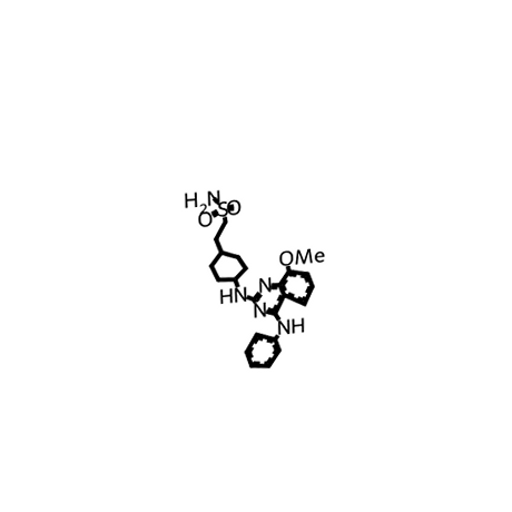 COc1cccc2c(Nc3ccccc3)nc(NC3CCC(CCS(N)(=O)=O)CC3)nc12